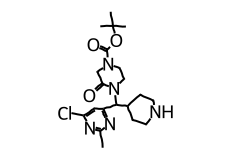 Cc1nc(Cl)cc(C(C2CCNCC2)N2CCN(C(=O)OC(C)(C)C)CC2=O)n1